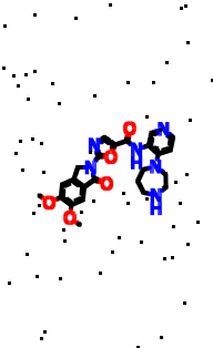 COc1cc2c(cc1OC)C(=O)N(c1ncc(C(=O)Nc3cnccc3N3CCCNCC3)o1)C2